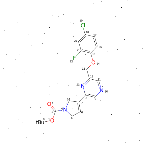 CC(C)(C)OC(=O)N1CC=C(c2cncc(COc3ccc(Cl)cc3F)n2)C1